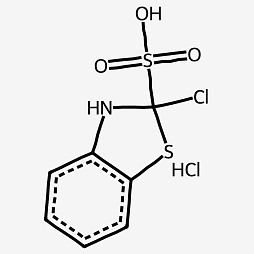 Cl.O=S(=O)(O)C1(Cl)Nc2ccccc2S1